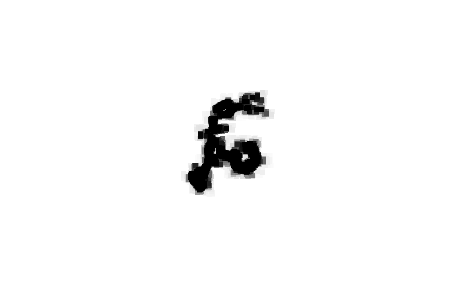 CN(C)C1CCN(CC(=O)Nc2cc(-c3nccs3)nc(-c3ccccn3)n2)C1